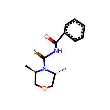 C[C@@H]1COC[C@@H](C)N1C(=S)NC(=O)c1ccccc1